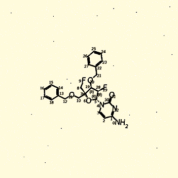 Nc1ccn([C@@H]2O[C@](CF)(COCc3ccccc3)[C@@H](OCc3ccccc3)[C@H]2F)c(=O)n1